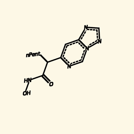 CCCCCC(C(=O)NO)c1cc2ncnn2cn1